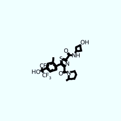 Cc1cc(C(O)(C(F)(F)F)C(F)(F)F)ccc1-c1sc(C(=O)NC2CC(O)C2)nc1C(=O)N1CCCC1C